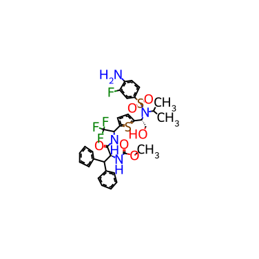 COC(=O)N[C@H](C(=O)N[C@H](c1ccc([C@@H](CO)N(C(C)C)S(=O)(=O)c2ccc(N)c(F)c2)s1)C(F)(F)F)C(c1ccccc1)c1ccccc1